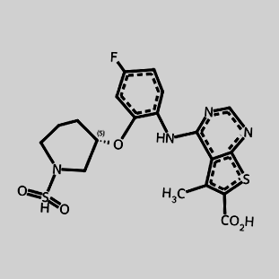 Cc1c(C(=O)O)sc2ncnc(Nc3ccc(F)cc3O[C@H]3CCCN([SH](=O)=O)C3)c12